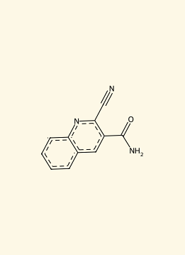 N#Cc1nc2[c]cccc2cc1C(N)=O